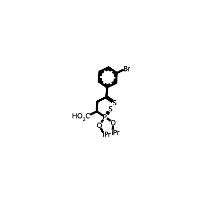 CC(C)OP(=S)(OC(C)C)C(CC(=S)c1cccc(Br)c1)C(=O)O